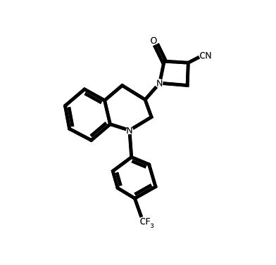 N#CC1CN(C2Cc3ccccc3N(c3ccc(C(F)(F)F)cc3)C2)C1=O